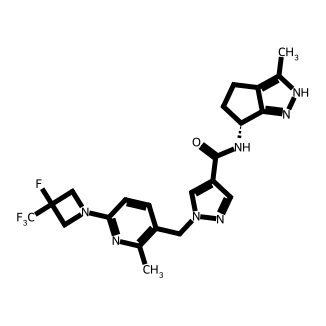 Cc1nc(N2CC(F)(C(F)(F)F)C2)ccc1Cn1cc(C(=O)N[C@@H]2CCc3c2n[nH]c3C)cn1